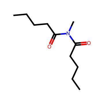 CCCCC(=O)N(C)C(=O)CCCC